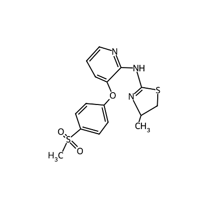 CC1CSC(Nc2ncccc2Oc2ccc(S(C)(=O)=O)cc2)=N1